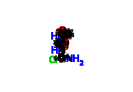 NCc1ccc(Cl)cc1CNC(=O)C1CCCN1C(=O)C1NS(=O)(=O)c2ccccc21